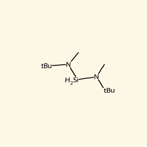 CN([SiH2]N(C)C(C)(C)C)C(C)(C)C